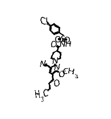 CCCC(=O)c1cc(C#N)c(N2CCC(C(=O)NS(=O)(=O)Cc3ccc(Cl)cc3)CC2)nc1OC